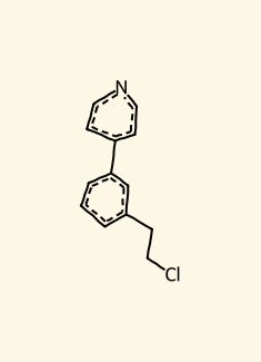 ClCCc1cccc(-c2ccncc2)c1